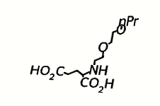 CCCOCCOCCNC(CCC(=O)O)C(=O)O